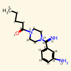 CCCCC(=O)N1CCN(C(=N)c2cccc(N)c2)CC1